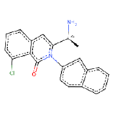 C[C@H](N)c1cc2cccc(Cl)c2c(=O)n1-c1ccc2ccccc2c1